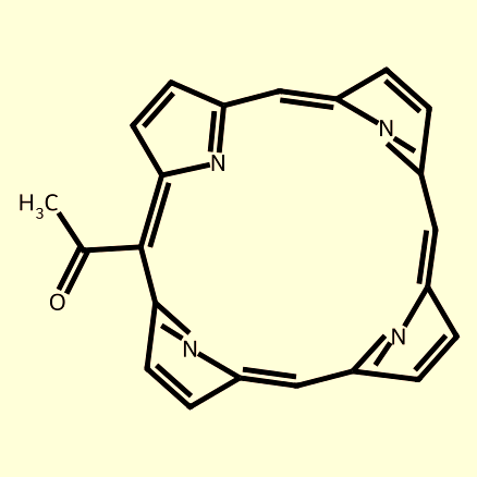 CC(=O)C1=C2C=CC(=N2)C=C2C=CC(=N2)C=C2C=CC(=N2)C=C2C=CC1=N2